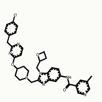 Cc1cncc(C(=O)Nc2ccc3c(c2)nc(CN2CCC(Oc4ccnc(Cc5ccc(Cl)cc5)n4)CC2)n3CC2CCO2)c1